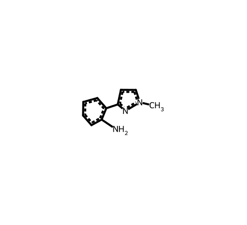 Cn1ccc(-c2ccccc2N)n1